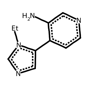 CCn1cncc1-c1ccncc1N